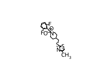 Cc1csc(SCC2CCN(S(=O)(=O)c3c(F)cccc3F)CC2)n1